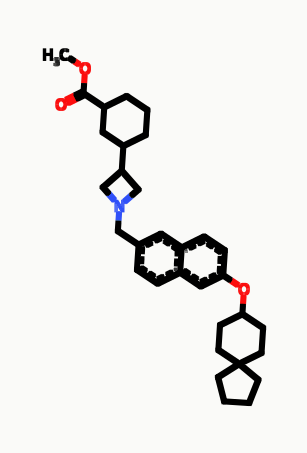 COC(=O)C1CCCC(C2CN(Cc3ccc4cc(OC5CCC6(CCCC6)CC5)ccc4c3)C2)C1